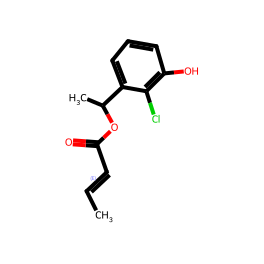 C/C=C/C(=O)OC(C)c1cccc(O)c1Cl